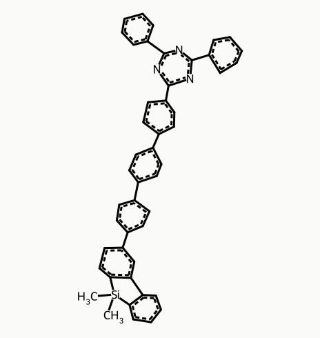 C[Si]1(C)c2ccccc2-c2cc(-c3ccc(-c4ccc(-c5ccc(-c6nc(-c7ccccc7)nc(-c7ccccc7)n6)cc5)cc4)cc3)ccc21